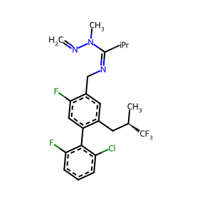 C=NN(C)/C(=N\Cc1cc(C[C@@H](C)C(F)(F)F)c(-c2c(F)cccc2Cl)cc1F)C(C)C